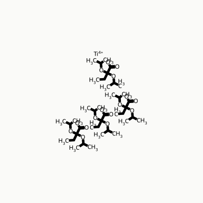 CCC(OC(C)C)(OC(C)C)C(=O)[O-].CCC(OC(C)C)(OC(C)C)C(=O)[O-].CCC(OC(C)C)(OC(C)C)C(=O)[O-].CCC(OC(C)C)(OC(C)C)C(=O)[O-].[Ti+4]